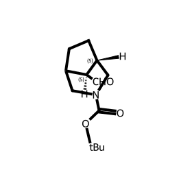 CC(C)(C)OC(=O)N1CC2CC[C@H](C1)[C@H]2C=O